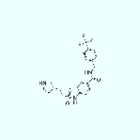 O=C(NCc1ccc(C(F)(F)F)nc1)c1ccc(NS(=O)(=O)CCC2CCNC2)cc1